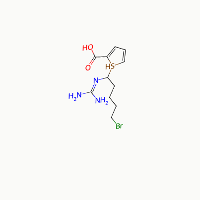 NC(N)=NC(CCCCBr)[SH]1C=CC=C1C(=O)O